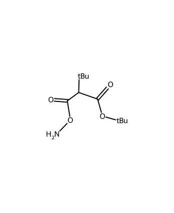 CC(C)(C)OC(=O)C(C(=O)ON)C(C)(C)C